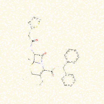 CC(=O)OCC1=C(C(=O)OC(c2ccccc2)c2ccccc2)N2C(=O)C(NC(=O)Cc3cccs3)[C@H]2S[C@H]1C